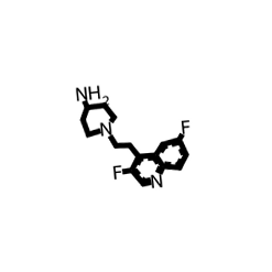 NC1CCN(CCc2c(F)cnc3ccc(F)cc23)CC1